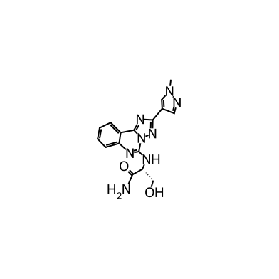 Cn1cc(-c2nc3c4ccccc4nc(N[C@H](CO)C(N)=O)n3n2)cn1